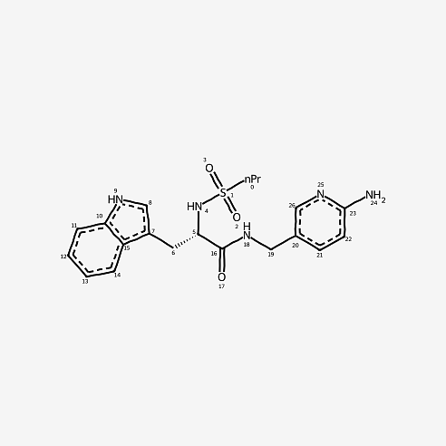 CCCS(=O)(=O)N[C@@H](Cc1c[nH]c2ccccc12)C(=O)NCc1ccc(N)nc1